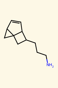 NCCCC1CC23CC2C=CC13